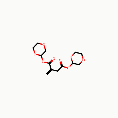 C=C(CC(=O)OC1COCCO1)C(=O)OC1COCCO1